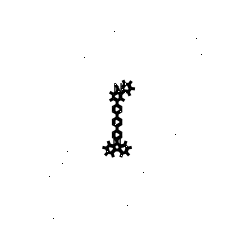 Cc1c(C)c(C)c2c(c1C)c1c(C)c(-c3ccc(-c4ccc(-c5ccc(-n6c7c(C)c(C)c(C)c(C)c7c7c(C)c(C)c(C)c(C)c76)cc5)cc4)cc3)c(C)c(C)c1n2C